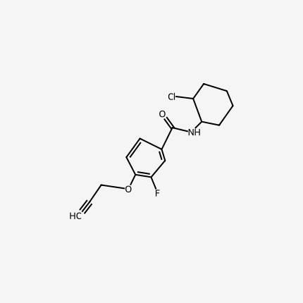 C#CCOc1ccc(C(=O)NC2CCCCC2Cl)cc1F